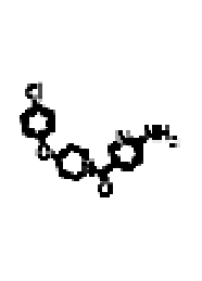 Nc1ccc(C(=O)N2CCC(Oc3ccc(Cl)cc3)CC2)cn1